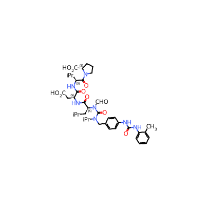 Cc1ccccc1NC(=O)Nc1ccc(CN(C(=O)N(C=O)[C@@H](CC(C)C)C(=O)N[C@@H](CC(=O)O)C(=O)N[C@H](C(=O)N2CCC[C@H]2C(=O)O)C(C)C)C(C)C)cc1